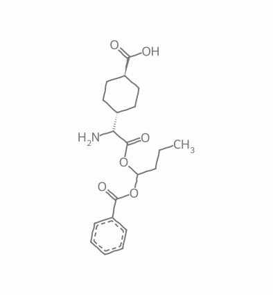 CCCC(OC(=O)c1ccccc1)OC(=O)C(N)[C@H]1CC[C@H](C(=O)O)CC1